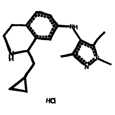 Cc1nn(C)c(C)c1Nc1ccc2c(c1)C(CC1CC1)NCC2.Cl